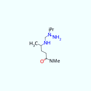 CNC(=O)CCC(C)NCN(N)C(C)C